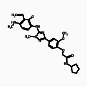 C=Cc1c(NC)ccc(Nc2nc(-c3ccc(OCC(=O)NC4CCCC4)c(OC)c3)nn2C)c1Cl